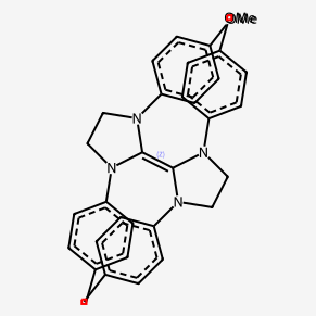 COc1ccc(N2CCN(c3ccc(C)cc3)/C2=C2\N(c3ccc(C)cc3)CCN2c2ccc(OC)cc2)cc1